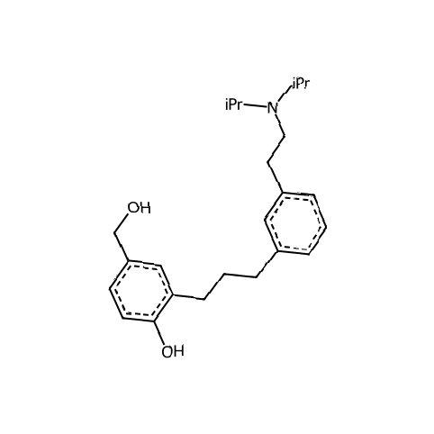 CC(C)N(CCc1cccc(CCCc2cc(CO)ccc2O)c1)C(C)C